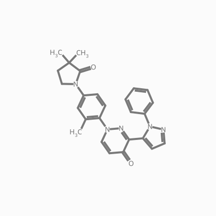 Cc1cc(N2CCC(C)(C)C2=O)ccc1-n1ccc(=O)c(-c2ccnn2-c2ccccc2)n1